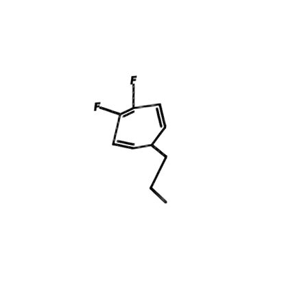 CCCC1C=CC(F)=C(F)C=C1